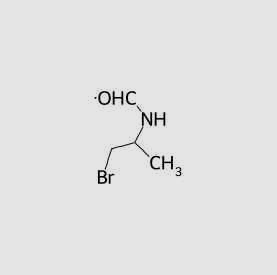 CC(CBr)N[C]=O